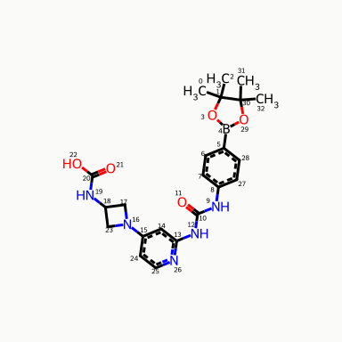 CC1(C)OB(c2ccc(NC(=O)Nc3cc(N4CC(NC(=O)O)C4)ccn3)cc2)OC1(C)C